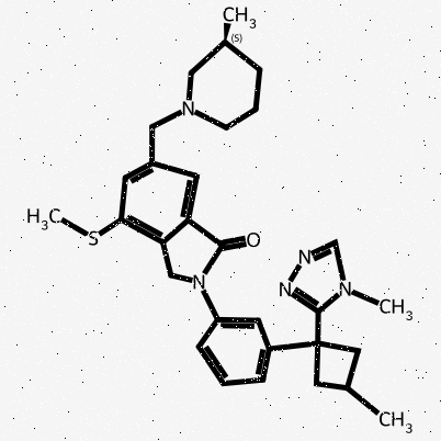 CSc1cc(CN2CCC[C@H](C)C2)cc2c1CN(c1cccc(C3(c4nncn4C)CC(C)C3)c1)C2=O